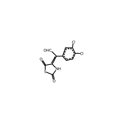 O=CC(=C1NC(=O)SC1=O)c1ccc(Cl)c(Cl)c1